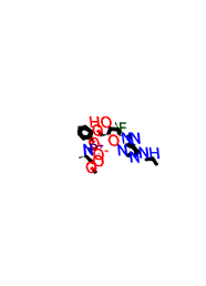 CCCNc1ncnc2c1ncn2[C@@H]1O[C@H](COc2ccccc2O/[P+]([O-])=N/[C@@H](C)C(=O)OC)[C@@H](O)[C@@]1(C)F